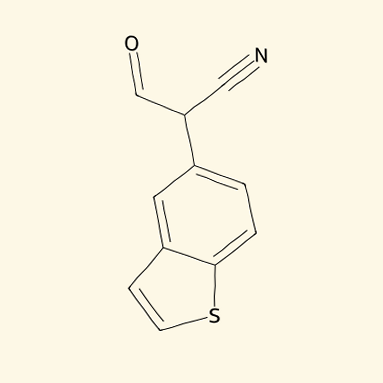 N#CC(C=O)c1ccc2sccc2c1